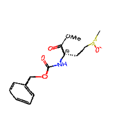 COC(=O)[C@H](CC[S+](C)[O-])NC(=O)OCc1ccccc1